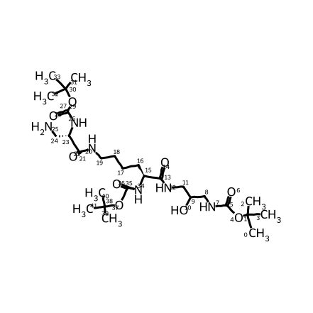 CC(C)(C)OC(=O)NCC(O)CNC(=O)[C@H](CCCCNC(=O)[C@H](CN)NC(=O)OC(C)(C)C)NC(=O)OC(C)(C)C